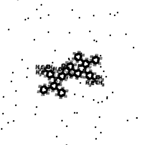 CC1(C)c2cc(N(c3ccc(S(C)(C)C)cc3)c3cc(-c4ccccc4)cc(-c4ccccc4)c3F)ccc2-c2cc3ccc(N(c4ccc(S(C)(C)C)cc4)c4cc(-c5ccccc5)cc(-c5ccccc5)c4F)cc3c3cccc1c23